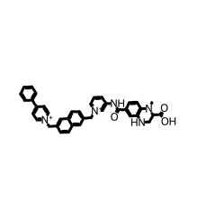 CN1c2ccc(C(=O)Nc3ccc[n+](Cc4ccc5cc(C[n+]6ccc(-c7ccccc7)cc6)ccc5c4)c3)cc2NCC1C(=O)O